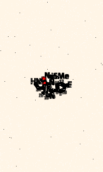 CSc1nccc(C2=C(c3ccc(F)cc3)N=C[N+]2(C)C2CCNCC2)n1